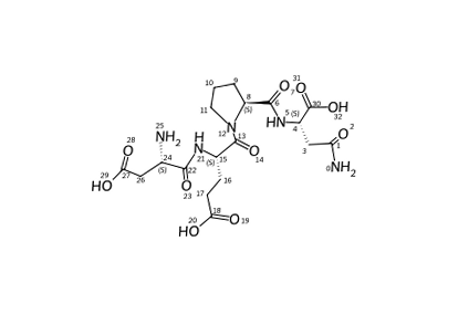 NC(=O)C[C@H](NC(=O)[C@@H]1CCCN1C(=O)[C@H](CCC(=O)O)NC(=O)[C@@H](N)CC(=O)O)C(=O)O